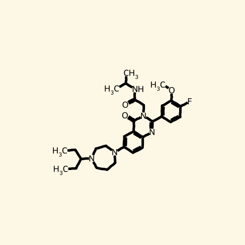 CCC(CC)N1CCCN(c2ccc3nc(-c4ccc(F)c(OC)c4)n(CC(=O)NC(C)C)c(=O)c3c2)CC1